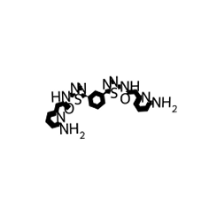 Nc1cccc(CC(=O)Nc2nnc([C@H]3CCC[C@H](c4nnc(NC(=O)Cc5cccc(N)n5)s4)C3)s2)n1